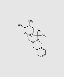 CC(C)(C)[S+]([O-])N(Cc1ccccc1)C[C@@H]1CCC(N)C(O)O1